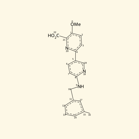 COc1ccc(-c2ccc(NCc3cccc(C)c3)nc2)nc1C(=O)O